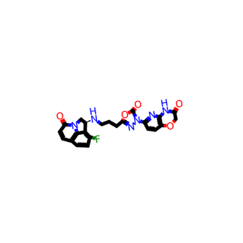 O=C1COc2ccc(-n3nc(CCCN[C@H]4Cn5c(=O)ccc6ccc(F)c4c65)oc3=O)nc2N1